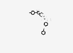 Cc1ccc(C2=NOC3(CCN(OC(=O)Nc4ccc(OCc5ccccc5)cc4)CC3)C2)cc1